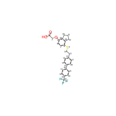 O=C(O)COc1ccc(SCCc2ccc(-c3ccc(C(F)(F)F)cc3)cc2)c2c1CCC2